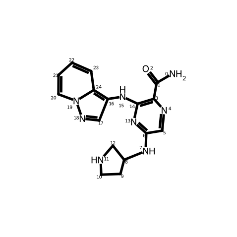 NC(=O)c1ncc(NC2CCNC2)nc1Nc1cnn2ccccc12